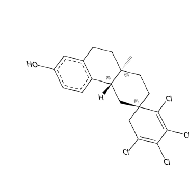 C[C@@]12CCc3cc(O)ccc3[C@H]1C[C@]1(CC2)CC(Cl)=C(Cl)C(Cl)=C1Cl